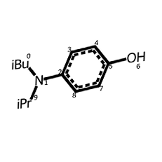 CCC(C)N(c1ccc(O)cc1)C(C)C